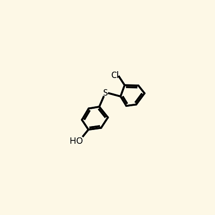 Oc1ccc(Sc2ccccc2Cl)cc1